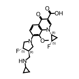 COc1c(N2C[C@@H](CNC3CC3)[C@H](F)C2)ccc2c(=O)c(C(=O)O)cn([C@@H]3C[C@@H]3F)c12